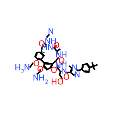 Cc1nc(-c2ccc(C(C)(C)C)cc2)ncc1C(=O)NC(CCO)C(=O)N(C)C1C(=O)NC(C)C(=O)NC(C(=O)NCC#N)Cc2ccc(OCCN)c(c2)-c2cc1ccc2OCCN